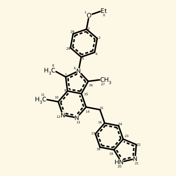 CCOc1ccc(-n2c(C)c3c(C)nnc(Cc4ccc5[nH]ncc5c4)c3c2C)cc1